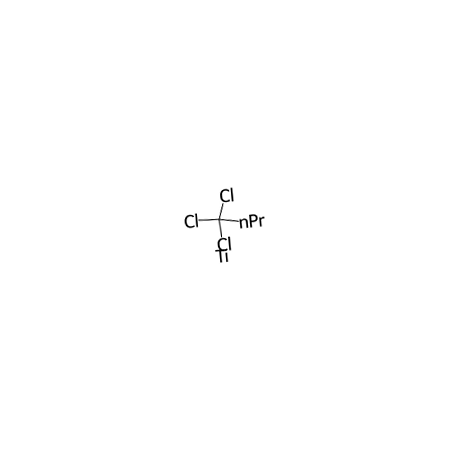 [CH2]CCC(Cl)(Cl)Cl.[Ti]